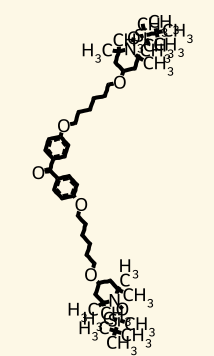 CC1(C)CC(OCCCCCCOc2ccc(C(=O)c3ccc(OCCCCCCOC4CC(C)(C)N(O[Si](C)(C)C(C)(C)C)C(C)(C)C4)cc3)cc2)CC(C)(C)N1O[Si](C)(C)C(C)(C)C